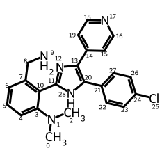 CN(C)c1cccc(CN)c1-c1nc(-c2ccncc2)c(-c2ccc(Cl)cc2)[nH]1